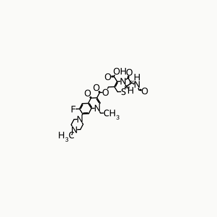 CCn1cc(C(=O)OCC2=C(C(=O)O)N3C(=O)[C@@H](NC=O)[C@H]3SC2)c(=O)c2cc(F)c(N3CCN(C)CC3)cc21